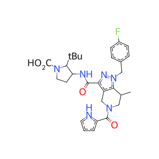 CC1CN(C(=O)c2ccc[nH]2)Cc2c(C(=O)NC3CCN(C(=O)O)C3C(C)(C)C)nn(Cc3ccc(F)cc3)c21